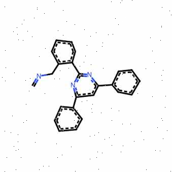 C=NCc1ccccc1-c1nc(-c2ccccc2)cc(-c2ccccc2)n1